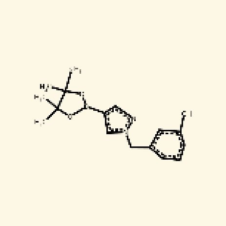 CC1(C)OB(c2cnn(Cc3cccc(O)c3)c2)OC1(C)C